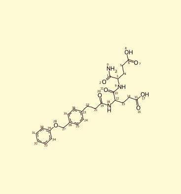 NC(=O)C(CCC(=O)O)NC(=O)C(CCC(=O)O)NC(=O)CCc1ccc(COc2ccccc2)cc1